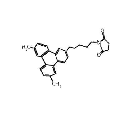 Cc1ccc2c(c1)c1ccc(C)cc1c1ccc(CCCCCN3C(=O)CCC3=O)cc21